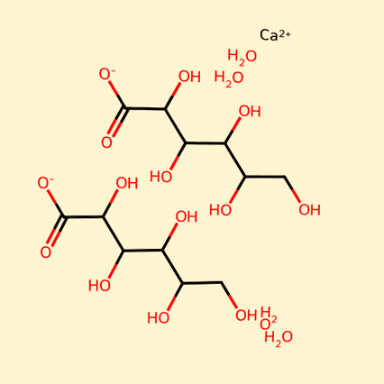 O.O.O.O.O=C([O-])C(O)C(O)C(O)C(O)CO.O=C([O-])C(O)C(O)C(O)C(O)CO.[Ca+2]